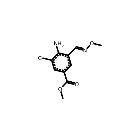 CON=Cc1cc(C(=O)OC)cc(Cl)c1N